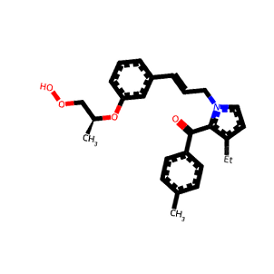 CCc1ccn(C/C=C/c2cccc(O[C@@H](C)COO)c2)c1C(=O)c1ccc(C)cc1